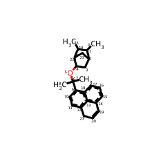 CC1C2CC(OC(C)(C)c3ccc4c5c(cccc35)C=CC4)C(C2)C1C